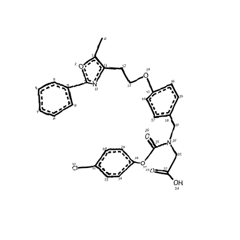 Cc1oc(-c2ccccc2)nc1CCOc1ccc(CN(CC(=O)O)C(=O)Oc2ccc(Cl)cc2)cc1